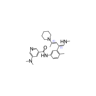 CN/C=C(\C=C(/C)N1CCCCC1)c1cc(NC(=O)c2cncc(N(C)C)c2)ccc1C